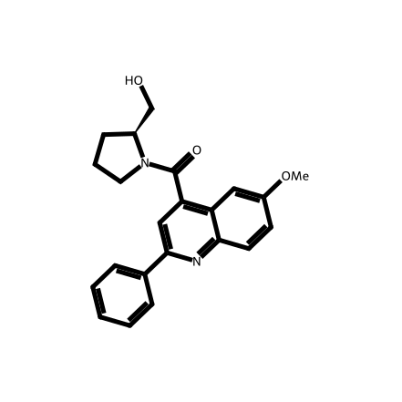 COc1ccc2nc(-c3ccccc3)cc(C(=O)N3CCC[C@H]3CO)c2c1